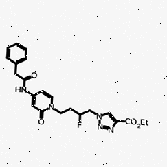 CCOC(=O)c1cn(CC(F)CCn2ccc(NC(=O)Cc3ccccc3)cc2=O)nn1